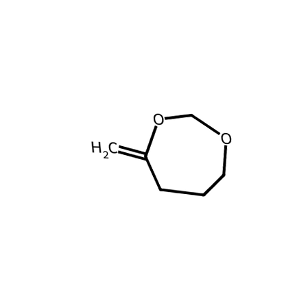 C=C1CCCOCO1